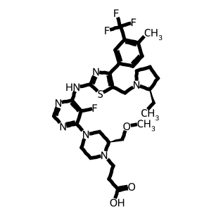 CC[C@@H]1CCCN1Cc1sc(Nc2ncnc(N3CCN(CCC(=O)O)[C@H](COC)C3)c2F)nc1-c1ccc(C)c(C(F)(F)F)c1